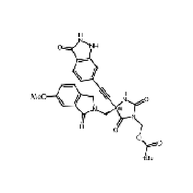 COc1ccc2c(c1)C(=O)N(C[C@@]1(C#Cc3ccc4c(=O)[nH][nH]c4c3)NC(=O)N(COC(=O)C(C)(C)C)C1=O)C2